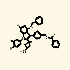 Cc1cc(-n2c(C3(C)CC(O)C3)c(-c3ccc(COC(=O)c4ccccc4)cc3)c3c(OCc4ccccc4)cc(F)cc32)ccc1F